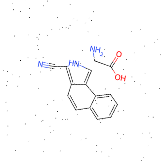 N#Cc1[nH]cc2c1ccc1ccccc12.NCC(=O)O